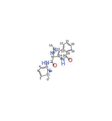 Cc1cccc(NC(=O)c2nn(C)c3c2[nH]c(=O)c2ccccc23)n1